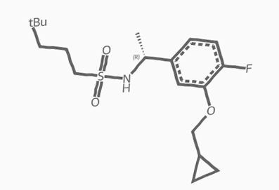 C[C@@H](NS(=O)(=O)CCCC(C)(C)C)c1ccc(F)c(OCC2CC2)c1